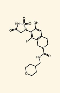 O=C1CN(c2c(O)cc3c(c2F)CN(C(=O)NCC2CCOCC2)CC3)S(=O)(=O)N1